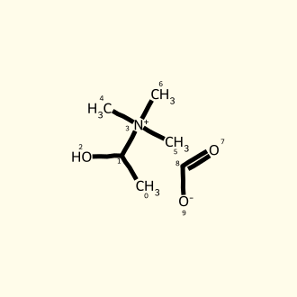 CC(O)[N+](C)(C)C.O=C[O-]